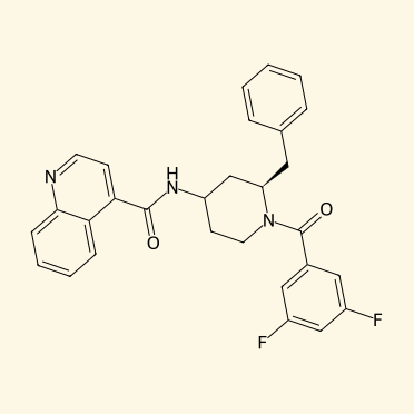 O=C(NC1CCN(C(=O)c2cc(F)cc(F)c2)[C@H](Cc2ccccc2)C1)c1ccnc2ccccc12